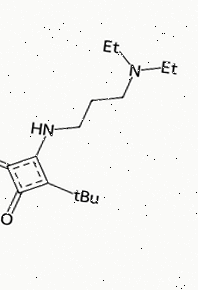 CCN(CC)CCCNc1c(C(C)(C)C)c(=O)c1=O